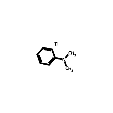 CN(C)c1ccccc1.[Ti]